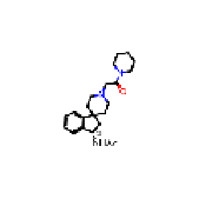 CC(=O)N[C@H]1CC2(CCN(CC(=O)N3CCCCC3)CC2)c2ccccc21